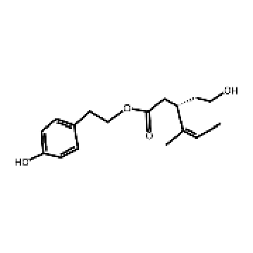 C/C=C(/C)[C@@H](CCO)CC(=O)OCCc1ccc(O)cc1